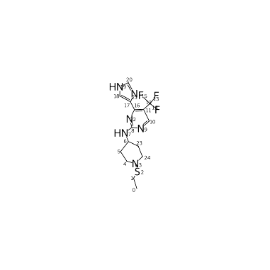 CCSN1CCC(Nc2ncc(C(F)(F)F)c(-c3c[nH]cn3)n2)CC1